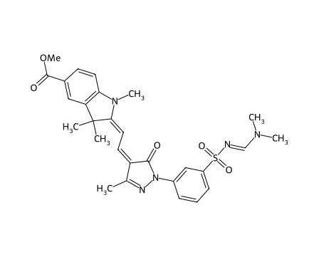 COC(=O)c1ccc2c(c1)C(C)(C)/C(=C\C=C1/C(=O)N(c3cccc(S(=O)(=O)/N=C/N(C)C)c3)N=C1C)N2C